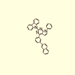 c1ccc(-n2ccc3c(-c4cccc(-c5ccc6ccccc6c5)c4)nc(-n4c5ccccc5c5ccccc54)nc32)cc1